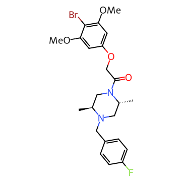 COc1cc(OCC(=O)N2C[C@H](C)N(Cc3ccc(F)cc3)C[C@H]2C)cc(OC)c1Br